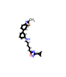 Cc1nc2ccc(-c3cccc(NCCCCCc4nc(C5CC5)no4)c3)cc2s1